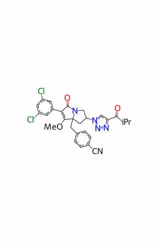 COC1=C(c2cc(Cl)cc(Cl)c2)C(=O)N2CC(n3cc(C(=O)C(C)C)nn3)CC12Cc1ccc(C#N)cc1